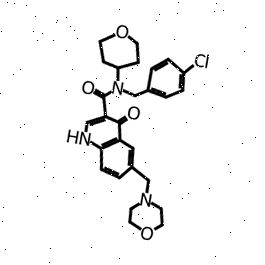 O=C(c1c[nH]c2ccc(CN3CCOCC3)cc2c1=O)N(Cc1ccc(Cl)cc1)C1CCOCC1